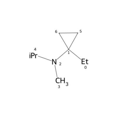 CCC1(N(C)C(C)C)CC1